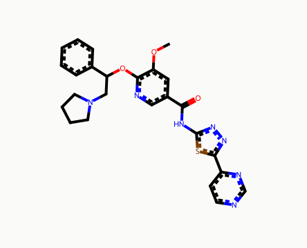 COc1cc(C(=O)Nc2nnc(-c3ccncn3)s2)cnc1OC(CN1CCCC1)c1ccccc1